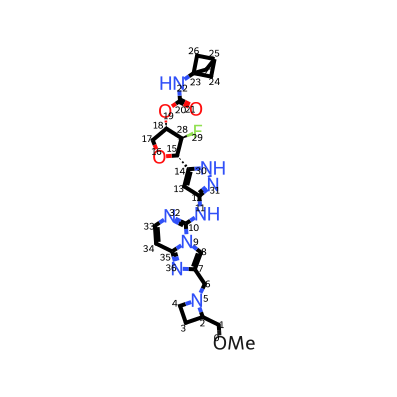 COCC1CCN1Cc1cn2c(Nc3cc([C@@H]4OC[C@H](OC(=O)NC56CC(C5)C6)[C@H]4F)[nH]n3)nccc2n1